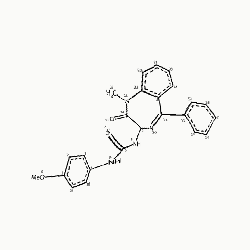 COc1ccc(NC(=S)NC2N=C(c3ccccc3)c3ccccc3N(C)C2=O)cc1